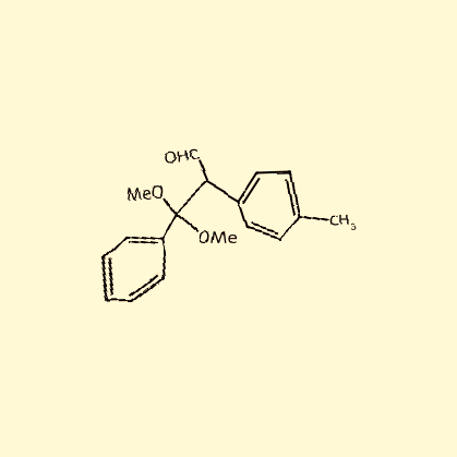 COC(OC)(c1ccccc1)C(C=O)c1ccc(C)cc1